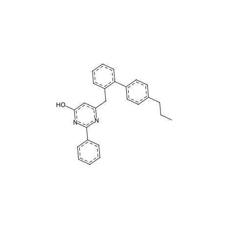 CCCc1ccc(-c2ccccc2Cc2cc(O)nc(-c3ccccc3)n2)cc1